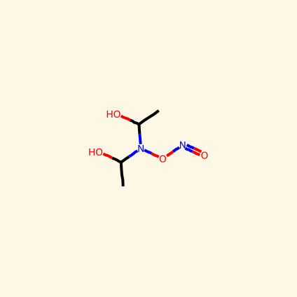 CC(O)N(ON=O)C(C)O